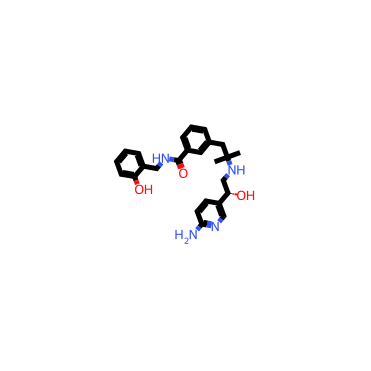 CC(C)(Cc1cccc(C(=O)NCc2ccccc2O)c1)NC[C@H](O)c1ccc(N)nc1